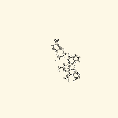 CC[C@@H]1CN(Cc2cc([C@@H](CC(=O)OC)c3cc(C4CC4)c4c(nnn4C)c3C)cc3ccsc23)Cc2nc(O)ccc2O1